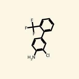 Nc1ccc(-c2ccccc2C(F)(F)F)cc1Cl